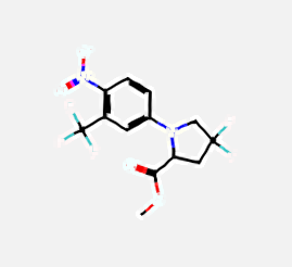 COC(=O)C1CC(F)(F)CN1c1ccc([N+](=O)[O-])c(C(F)(F)F)c1